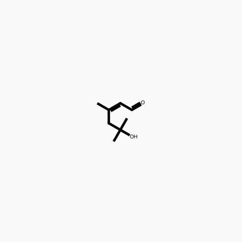 CC(=CC=O)CC(C)(C)O